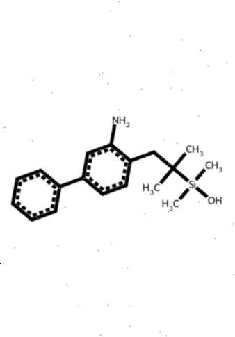 CC(C)(Cc1ccc(-c2ccccc2)cc1N)[Si](C)(C)O